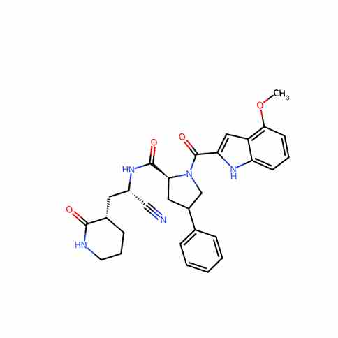 COc1cccc2[nH]c(C(=O)N3CC(c4ccccc4)C[C@H]3C(=O)N[C@H](C#N)C[C@@H]3CCCNC3=O)cc12